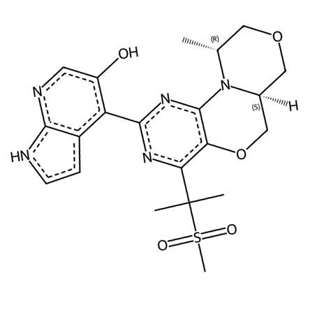 C[C@@H]1COC[C@H]2COc3c(nc(-c4c(O)cnc5[nH]ccc45)nc3C(C)(C)S(C)(=O)=O)N21